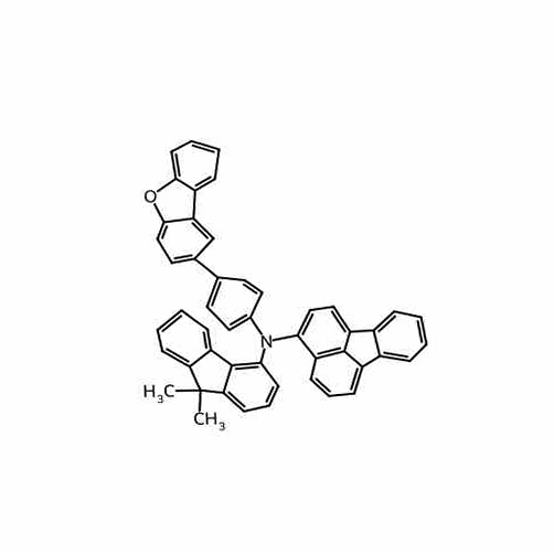 CC1(C)c2ccccc2-c2c(N(c3ccc(-c4ccc5oc6ccccc6c5c4)cc3)c3ccc4c5c(cccc35)-c3ccccc3-4)cccc21